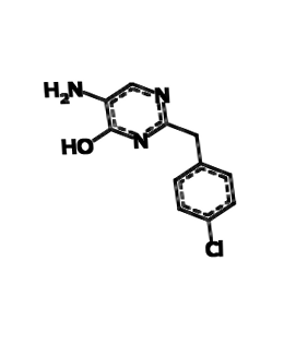 Nc1cnc(Cc2ccc(Cl)cc2)nc1O